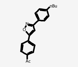 CCCCc1ccc(-c2cc(-c3ccc(C(C)=O)cc3)on2)cc1